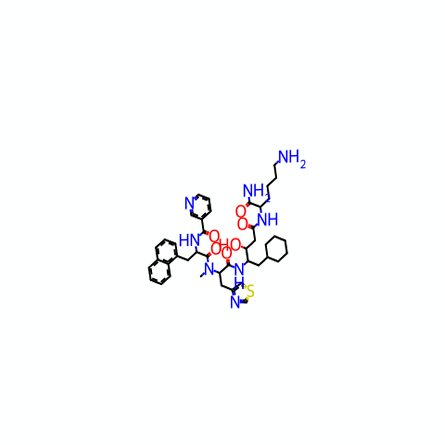 CN(C(=O)C(Cc1cccc2ccccc12)NC(=O)c1cccnc1)C(Cc1cscn1)C(=O)NC(CC1CCCCC1)C(O)CC(=O)NC(CCCCN)C(N)=O